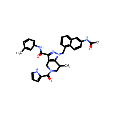 CCC(=O)Nc1ccc2c(Cn3nc(C(=O)Nc4cccc(C)c4)c4c3C(C)CN(C(=O)c3ccc[nH]3)C4)cccc2c1